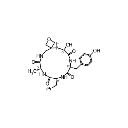 CC(C)C[C@@H]1NC(=O)[C@H](Cc2ccc(O)cc2)NC(=O)[C@H](C)NC2(CNC(=O)[C@H](C)NC1=O)COC2